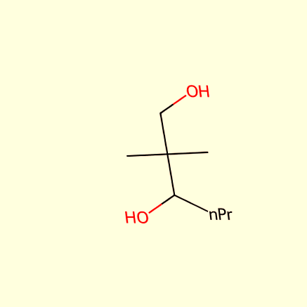 CCCC(O)C(C)(C)CO